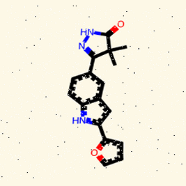 CC1(C)C(=O)NN=C1c1ccc2[nH]c(-c3ccco3)cc2c1